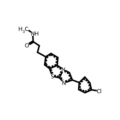 CNC(=O)CCc1ccc2c(c1)sc1nc(-c3ccc(Cl)cc3)cn12